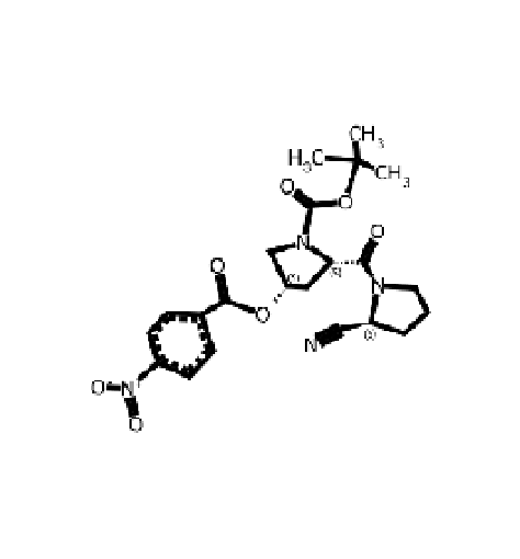 CC(C)(C)OC(=O)N1C[C@@H](OC(=O)c2ccc([N+](=O)[O-])cc2)C[C@H]1C(=O)N1CCC[C@H]1C#N